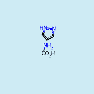 NC(=O)O.c1cn[nH]c1